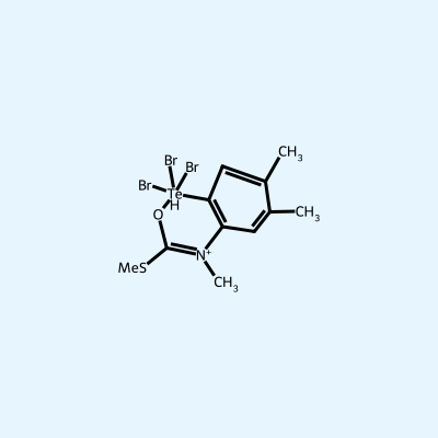 CSC1=[N+](C)c2cc(C)c(C)cc2[TeH](Br)(Br)(Br)O1